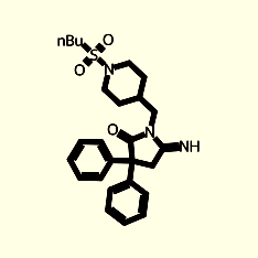 CCCCS(=O)(=O)N1CCC(CN2C(=N)CC(c3ccccc3)(c3ccccc3)C2=O)CC1